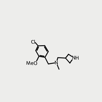 COc1cc(Cl)ccc1CN(C)CC1CNC1